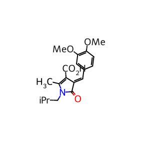 COc1ccc(C=C2C(=O)N(CC(C)C)C(C)=C2C(=O)O)cc1OC